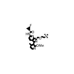 COc1nccc(C)c1-c1nn(COCC[Si](C)(C)C)c2nc(NC(=O)[C@@H]3C[C@@H]3F)ccc12